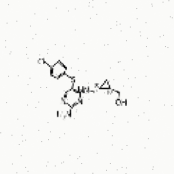 Nc1ncc(Sc2ccc(Cl)cc2)c(NC[C@@H]2C[C@H]2CO)n1